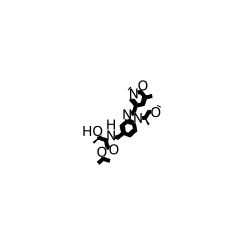 COC[C@@H](C)n1c(-c2cc(C)c(=O)n(C)c2)nc2cc(CN[C@@H](C(=O)OC(C)C)[C@@H](C)O)ccc21